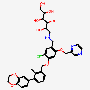 Cc1c(COc2cc(OCc3cnccn3)c(CNCC(O)C(O)C(O)C(O)CO)cc2Cl)cccc1-c1ccc2c(c1)OCCO2